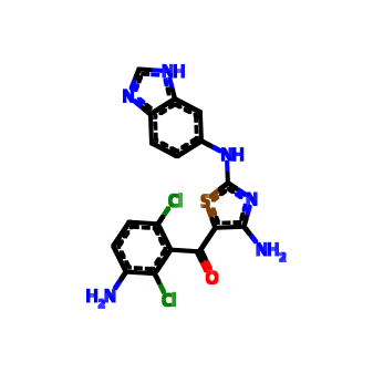 Nc1ccc(Cl)c(C(=O)c2sc(Nc3ccc4nc[nH]c4c3)nc2N)c1Cl